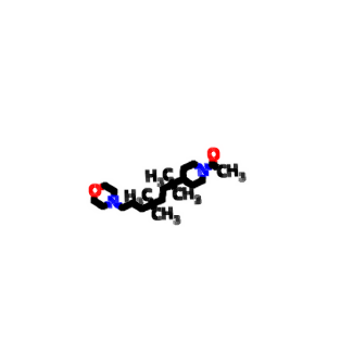 CC(=O)N1CCC(C(C)(C)CCC(C)(C)CCCN2CCOCC2)CC1